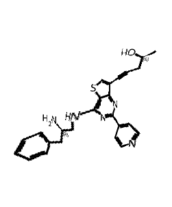 C[C@H](O)CC#Cc1csc2c(NC[C@H](N)Cc3ccccc3)nc(-c3ccncc3)nc12